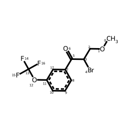 COCC(Br)C(=O)c1cccc(OC(F)(F)F)c1